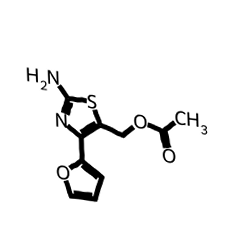 CC(=O)OCc1sc(N)nc1-c1ccco1